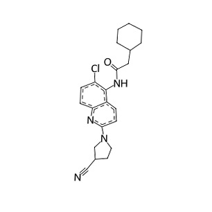 N#CC1CCN(c2ccc3c(NC(=O)CC4CCCCC4)c(Cl)ccc3n2)C1